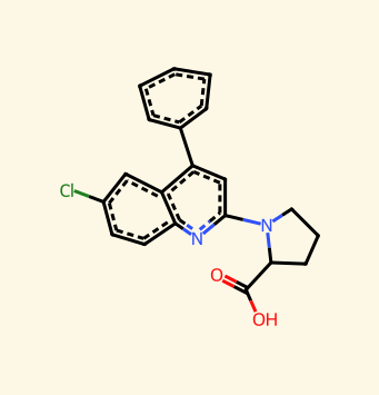 O=C(O)C1CCCN1c1cc(-c2ccccc2)c2cc(Cl)ccc2n1